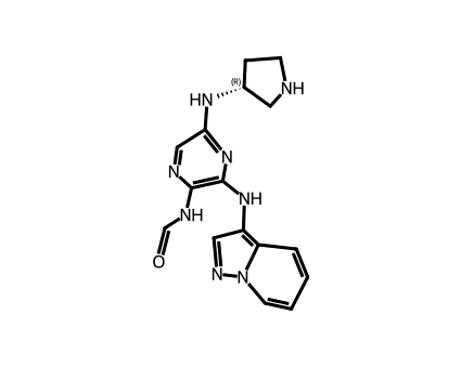 O=CNc1ncc(N[C@@H]2CCNC2)nc1Nc1cnn2ccccc12